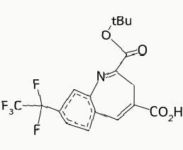 CC(C)(C)OC(=O)C1=Nc2cc(C(F)(F)C(F)(F)F)ccc2C=C(C(=O)O)C1